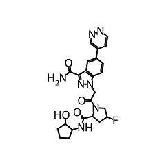 NC(=O)c1nn(CC(=O)N2CC(F)CC2C(=O)NC2CCCC2O)c2ccc(-c3ccnnc3)cc12